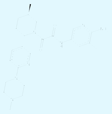 Cc1cc(NC(=O)C(=O)N2C[C@H](C)CC[C@H]2c2ccc(N3CCN(C)CC3)nc2)cnc1N